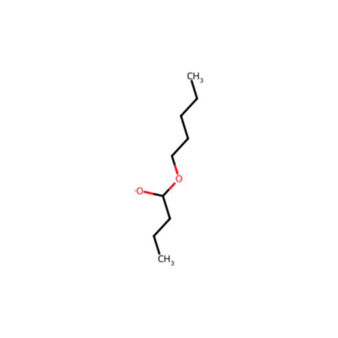 CCCCCOC([O])CCC